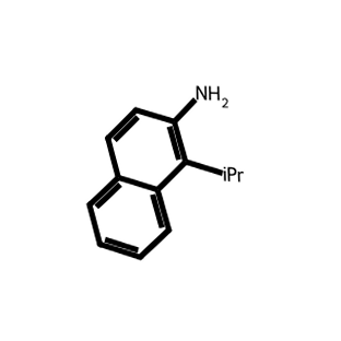 CC(C)c1c(N)ccc2ccccc12